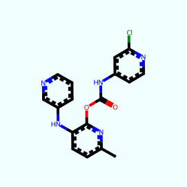 Cc1ccc(Nc2cccnc2)c(OC(=O)Nc2ccnc(Cl)c2)n1